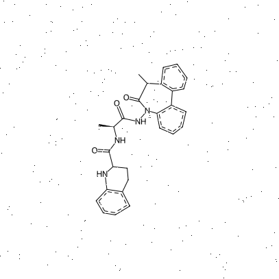 CC1C(=O)N(NC(=O)[C@H](C)NC(=O)C2CCc3ccccc3N2)c2ccccc2-c2ccccc21